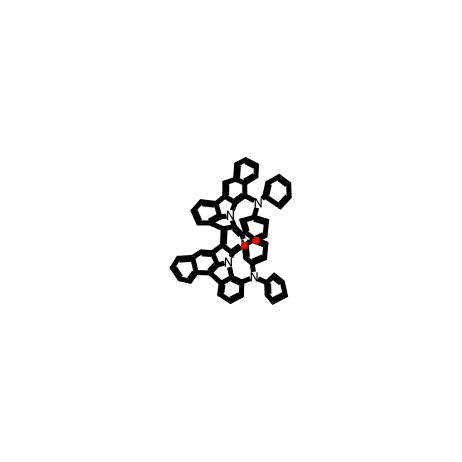 c1ccc(N(c2ccccc2)c2c3ccccc3cc3c4cccc5c6c7c8cc9ccccc9c9c%10cccc(N(c%11ccccc%11)c%11ccccc%11)c%10n(c7ncc6n(c23)c45)c89)cc1